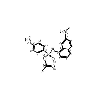 CNc1ccc2cccc(OP(=O)(OC(C)=O)c3ccc(N)cc3)c2c1